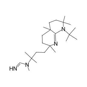 CN(C=N)C(C)(C)CCC1(C)CCC2(C)CCC(C)(C)N(C(C)(C)C)C2=N1